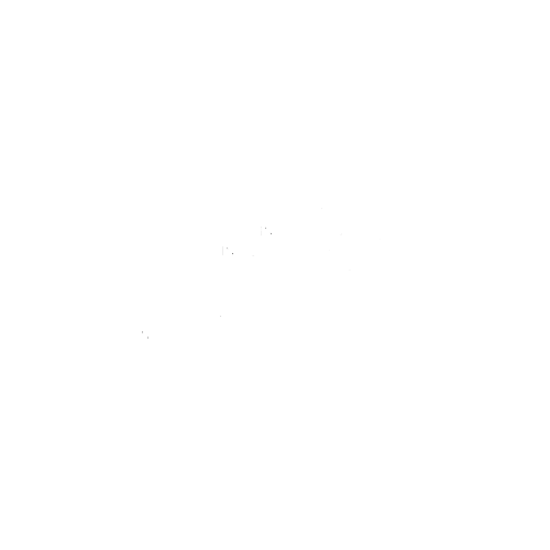 N#CCc1ccc(NC(=O)Nc2ccc(OC(F)F)cc2)cc1